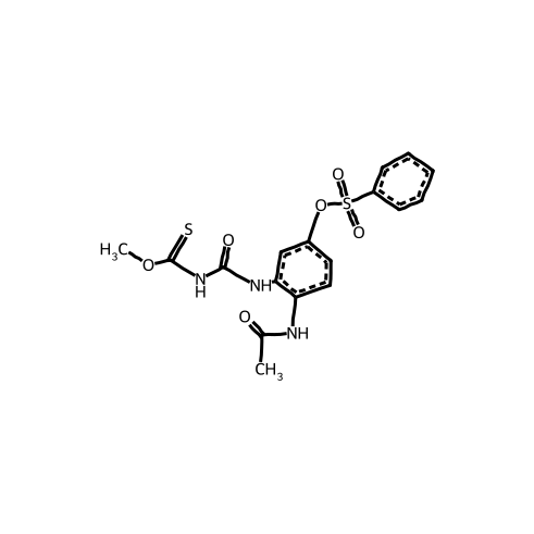 COC(=S)NC(=O)Nc1cc(OS(=O)(=O)c2ccccc2)ccc1NC(C)=O